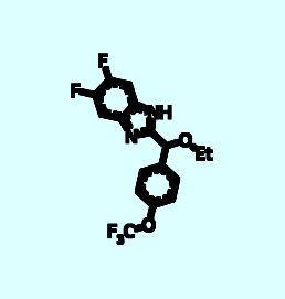 CCOC(c1ccc(OC(F)(F)F)cc1)c1nc2cc(F)c(F)cc2[nH]1